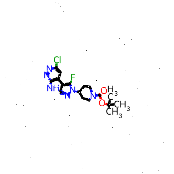 CC(C)(C)OC(=O)N1CCC(n2ncc(-c3cc(Cl)nnc3N)c2F)CC1